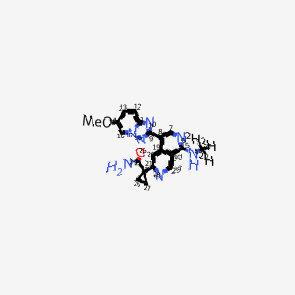 [2H]C([2H])([2H])Nc1ncc(-c2nc3ccc(OC)cn3n2)c2cc(C3(C(N)=O)CC3)ncc12